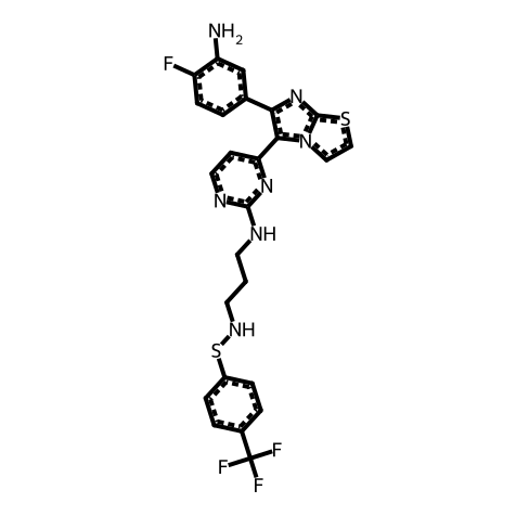 Nc1cc(-c2nc3sccn3c2-c2ccnc(NCCCNSc3ccc(C(F)(F)F)cc3)n2)ccc1F